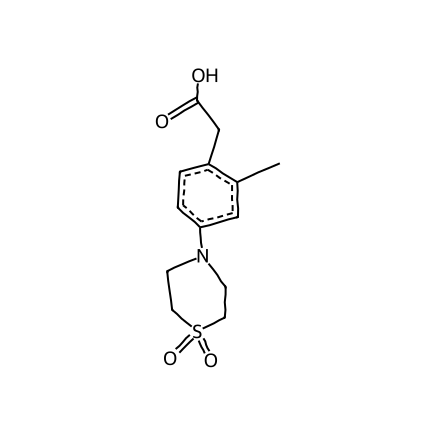 Cc1cc(N2CCS(=O)(=O)CC2)ccc1CC(=O)O